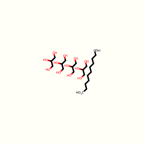 CCCCCCCCCCCCCCCCCCCC(=O)O.OCC(O)CO.OCC(O)CO.OCC(O)CO.OCC(O)CO